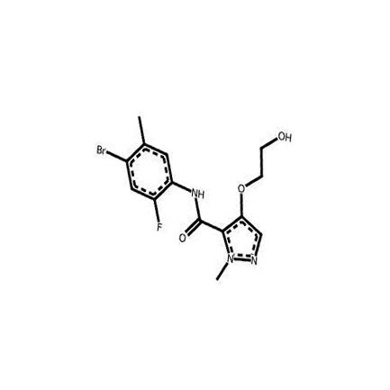 Cc1cc(NC(=O)c2c(OCCO)cnn2C)c(F)cc1Br